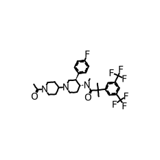 CC(=O)N1CCC(N2CC[C@@H](N(C)C(=O)C(C)(C)c3cc(C(F)(F)F)cc(C(F)(F)F)c3)[C@H](c3ccc(F)cc3)C2)CC1